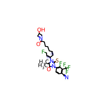 CC1(C)C(=O)N(c2ccc(C#N)c(C(F)(F)F)c2F)C(=S)N1C(/C=C\CCCCC(=O)N1CC(O)C1)=C/CF